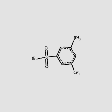 Bc1cc(C(F)(F)F)cc(S(=O)(=O)C(C)(C)C)c1